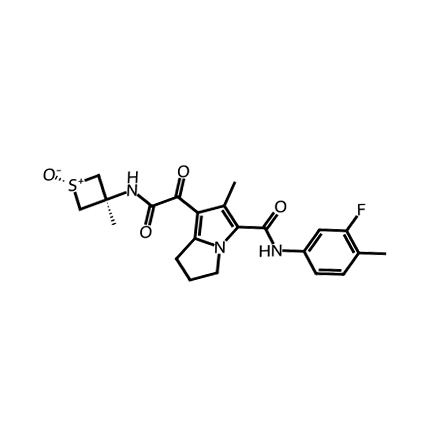 Cc1ccc(NC(=O)c2c(C)c(C(=O)C(=O)N[C@]3(C)C[S@@+]([O-])C3)c3n2CCC3)cc1F